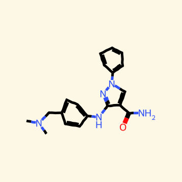 CN(C)Cc1ccc(Nc2nn(-c3ccccc3)cc2C(N)=O)cc1